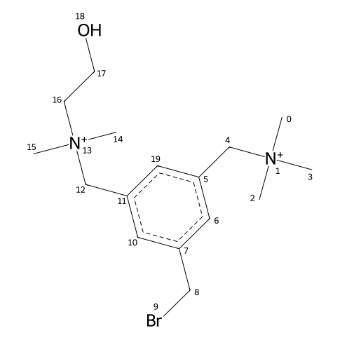 C[N+](C)(C)Cc1cc(CBr)cc(C[N+](C)(C)CCO)c1